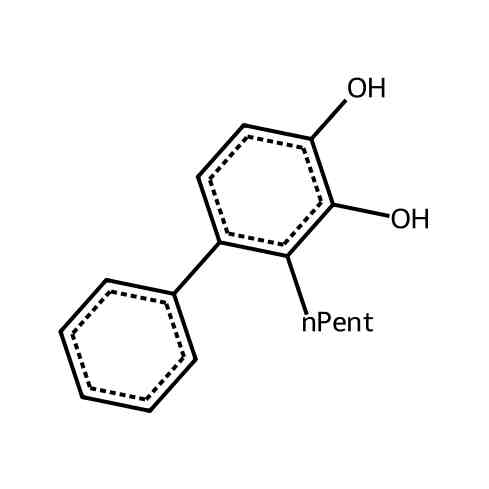 CCCCCc1c(-c2ccccc2)ccc(O)c1O